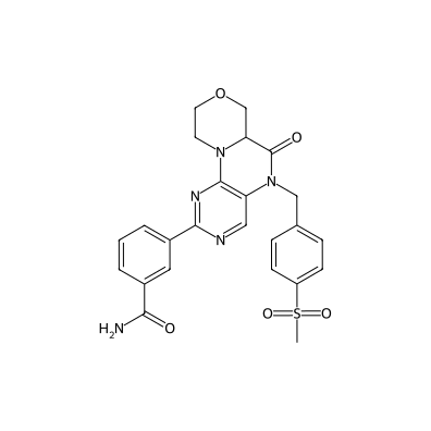 CS(=O)(=O)c1ccc(CN2C(=O)C3COCCN3c3nc(-c4cccc(C(N)=O)c4)ncc32)cc1